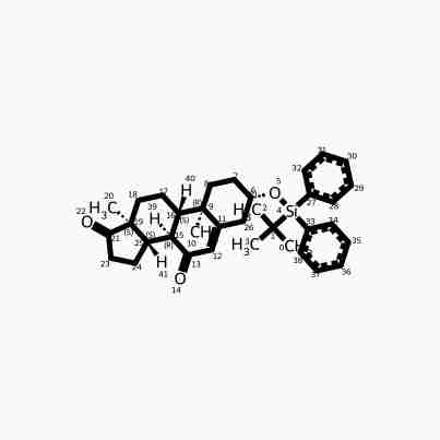 CC(C)(C)[Si](O[C@H]1CC[C@@]2(C)C(=CC(=O)[C@@H]3[C@@H]2CC[C@]2(C)C(=O)CC[C@@H]32)C1)(c1ccccc1)c1ccccc1